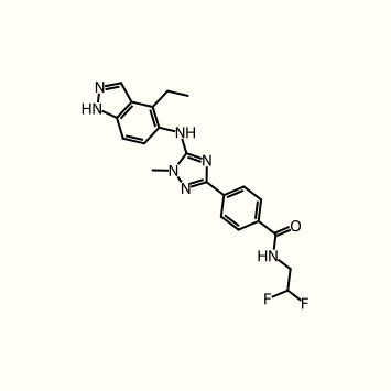 CCc1c(Nc2nc(-c3ccc(C(=O)NCC(F)F)cc3)nn2C)ccc2[nH]ncc12